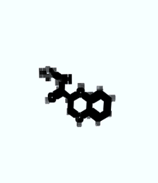 NNC(=O)[C@@H]1COc2ccccc2O1